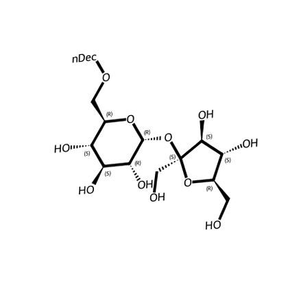 CCCCCCCCCCOC[C@H]1O[C@H](O[C@]2(CO)O[C@H](CO)[C@@H](O)[C@@H]2O)[C@H](O)[C@@H](O)[C@@H]1O